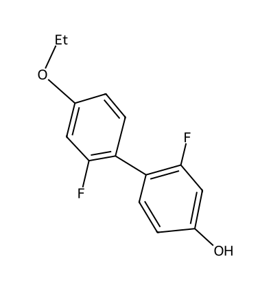 CCOc1ccc(-c2ccc(O)cc2F)c(F)c1